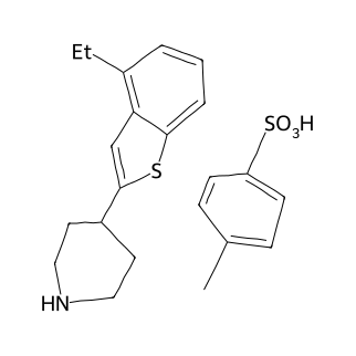 CCc1cccc2sc(C3CCNCC3)cc12.Cc1ccc(S(=O)(=O)O)cc1